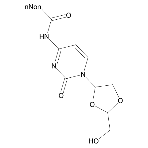 CCCCCCCCCC(=O)Nc1ccn(C2COC(CO)O2)c(=O)n1